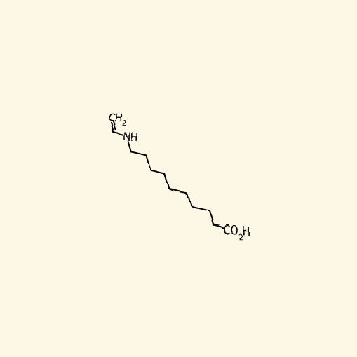 C=CNCCCCCCCCCC(=O)O